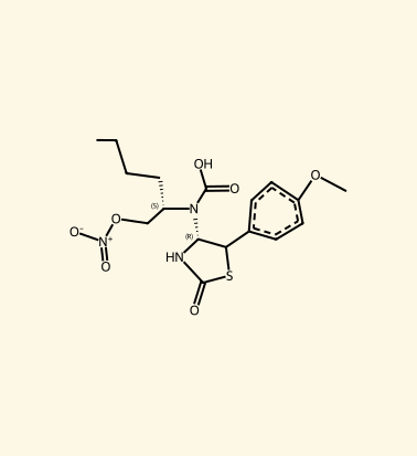 CCCC[C@@H](CO[N+](=O)[O-])N(C(=O)O)[C@H]1NC(=O)SC1c1ccc(OC)cc1